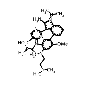 C=CC(=O)Nc1cc(-c2cccc3c2c(-c2ncc(C(=O)O)cn2)c(N)n3N(C)C)c(OC)cc1N(C)CCN(C)C